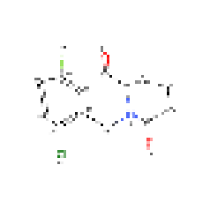 O=CC1CCCC(=O)N1Cc1cc(F)ccc1Cl